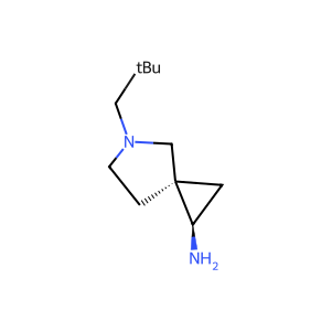 CC(C)(C)CN1CC[C@@]2(C[C@H]2N)C1